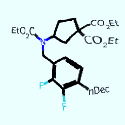 CCCCCCCCCCc1ccc(CN(C(=O)OCC)C2CCC(C(=O)OCC)(C(=O)OCC)C2)c(F)c1F